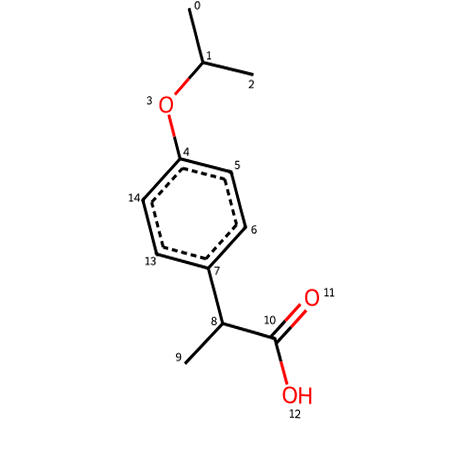 CC(C)Oc1ccc(C(C)C(=O)O)cc1